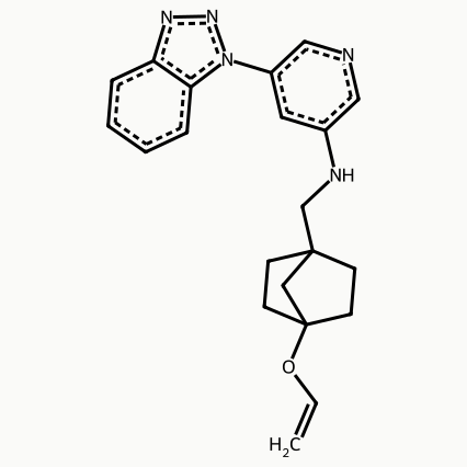 C=COC12CCC(CNc3cncc(-n4nnc5ccccc54)c3)(CC1)C2